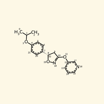 CC(C)Oc1ccc([C@@H]2CC(Oc3cccnc3)=NO2)cc1